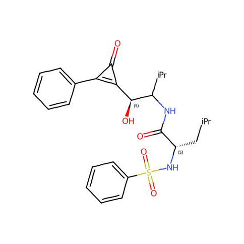 CC(C)C[C@H](NS(=O)(=O)c1ccccc1)C(=O)NC(C(C)C)[C@@H](O)c1c(-c2ccccc2)c1=O